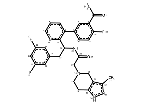 NC(=O)c1cc(-c2cccnc2C(Cc2cc(F)cc(F)c2)NC(=O)CN2CCc3[nH]nc(C(F)(F)F)c3C2)ccc1F